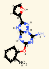 Nc1nc(Oc2ccccc2[N+](=O)[O-])nc2nc(-c3ccco3)nn12